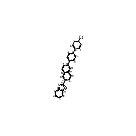 CCC1C=CC(c2ccc(-c3ccc4cc(-c5nc6ccccc6o5)ccc4c3)cc2)=CC1